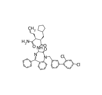 C=CC[C@H](C(N)=O)[C@@H](CC1CCCC1)C(=O)NC1N=C(c2ccccc2)c2ccccc2N(Cc2cccc(-c3ccc(Cl)cc3Cl)c2)C1=O